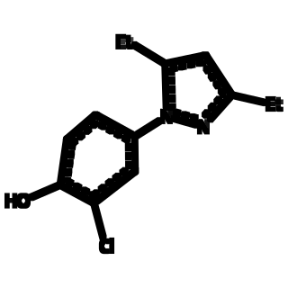 CCc1cc(CC)n(-c2ccc(O)c(Cl)c2)n1